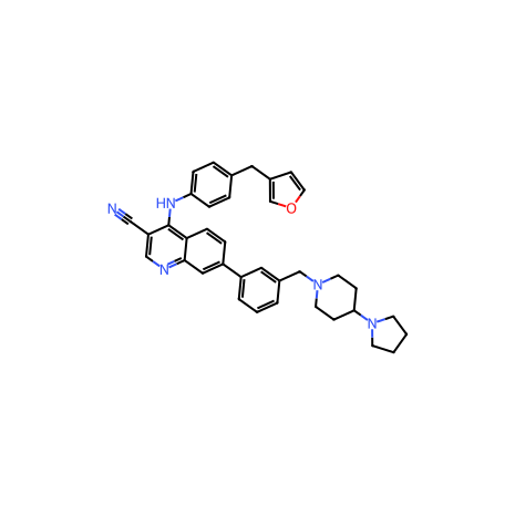 N#Cc1cnc2cc(-c3cccc(CN4CCC(N5CCCC5)CC4)c3)ccc2c1Nc1ccc(Cc2ccoc2)cc1